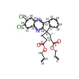 C=CCOC(=O)CCC1(CCC(=O)OCC=C)c2ccccc2-c2nc3cc(Cl)c(Cl)cc3nc21